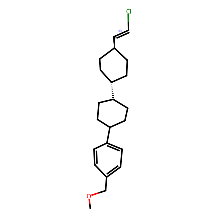 COCc1ccc(C2CCC([C@H]3CC[C@H](/C=C/Cl)CC3)CC2)cc1